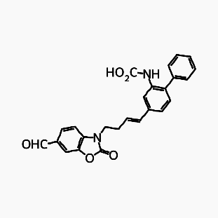 O=Cc1ccc2c(c1)oc(=O)n2CCC=Cc1ccc(-c2ccccc2)c(NC(=O)O)c1